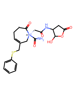 NC(=O)[N@@+]1(CC(=O)NC2CC(=O)OC2O)CC(CSc2ccccc2)=CC[C]C1=O